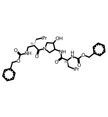 CC(C)C[C@@H](CNC(=O)OCc1ccccc1)C(=O)N1CC(O)C(NC(=O)[C@H](CC(C)C)NC(=O)OCc2ccccc2)C1